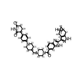 C[C@@]12Cc3[nH]nc(-c4nc5ccc(C(=O)N6CCN(CC7CCN(c8ccc(C9CCC(=O)NC9=O)cc8)CC7)CC6)cc5[nH]4)c3C[C@@H]1C2